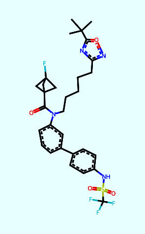 CC(C)(C)c1nc(CCCCCN(C(=O)C23CC(F)(C2)C3)c2cccc(-c3ccc(NS(=O)(=O)C(F)(F)F)cc3)c2)no1